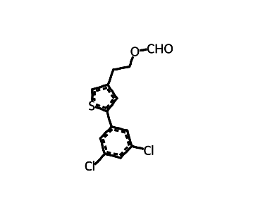 O=COCCc1csc(-c2cc(Cl)cc(Cl)c2)c1